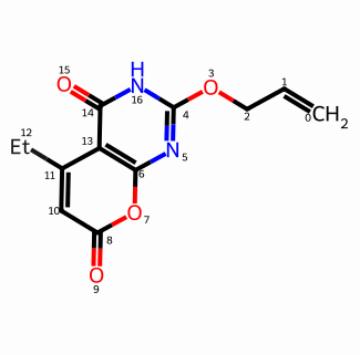 C=CCOc1nc2oc(=O)cc(CC)c2c(=O)[nH]1